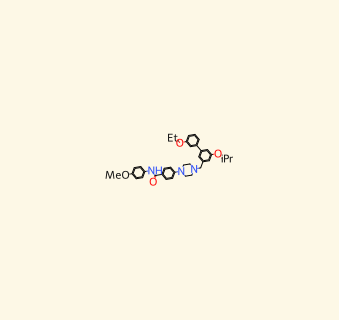 CCOc1cccc(-c2cc(CN3CCN(c4ccc(C(=O)Nc5ccc(OC)cc5)cc4)CC3)cc(OC(C)C)c2)c1